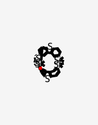 C[Si]1(C)Cc2cc3cc4c2sc2ccc(cc24)[Si](C)(C)[Si](C)(C)c2ccc4sc5c1cc(cc5c4c2)[Si](C)(C)[Si]3(C)C